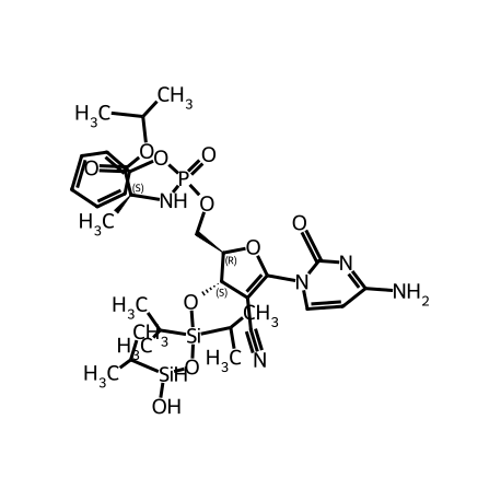 CC(C)OC(=O)[C@H](C)NP(=O)(OC[C@H]1OC(n2ccc(N)nc2=O)=C(C#N)[C@@H]1O[Si](O[SiH](O)C(C)C)(C(C)C)C(C)C)Oc1ccccc1